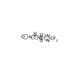 Cc1nc(C(F)(F)F)ncc1S(=O)(=O)N1CC2CN(C3CCOCC3)C[C@@H]2C1